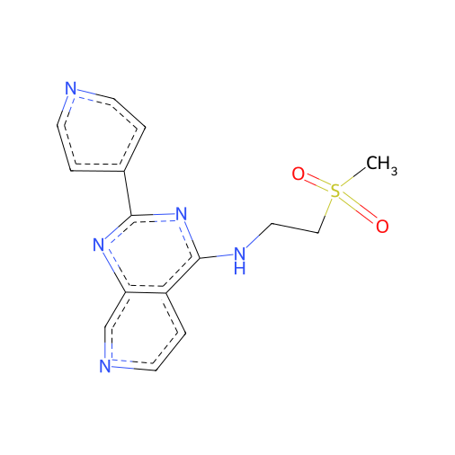 CS(=O)(=O)CCNc1nc(-c2ccncc2)nc2cnccc12